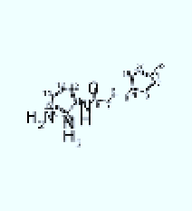 Cc1ccc(CCCC(=O)Nc2cccc(N)c2N)cc1